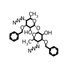 C[C@H]1O[C@H](O[C@H]2O[C@H](C)[C@@H](N=[N+]=[N-])[C@H](OCc3ccccc3)[C@@H]2O)[C@@H](O)[C@@H](OCc2ccccc2)[C@@H]1N=[N+]=[N-]